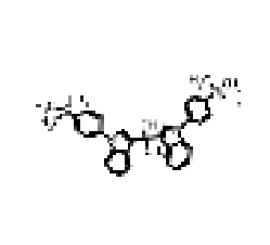 CC(C)(c1cn(-c2ccc([Si](C)(C)C)cc2)c2ccccc12)c1cn(-c2ccc([Si](C)(C)C)cc2)c2ccccc12